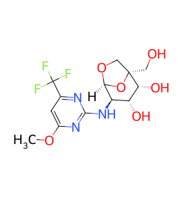 COc1cc(C(F)(F)F)nc(N[C@H]2[C@H]3OC[C@](CO)(O3)[C@H](O)[C@@H]2O)n1